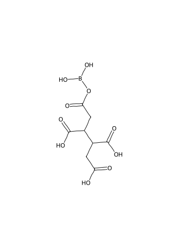 O=C(O)CC(C(=O)O)C(CC(=O)OB(O)O)C(=O)O